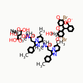 Cc1ccc(-c2nc3ccc(C)cn3c2CC(=O)N(C)C)cc1.Cc1ccc(-c2nc3ccc(C)cn3c2CC(=O)N(C)C)cc1.O=C(O)[C@H](O)[C@@H](O)C(=O)O.O=C([O-])c1ccccc1-c1c2cc(Br)c(=O)cc-2oc2[c]([Hg][OH])c([O-])c(Br)cc12.[Na+].[Na+]